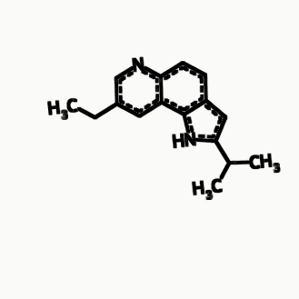 CCc1cnc2ccc3cc(C(C)C)[nH]c3c2c1